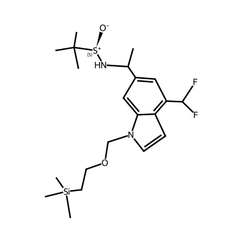 CC(N[S@+]([O-])C(C)(C)C)c1cc(C(F)F)c2ccn(COCC[Si](C)(C)C)c2c1